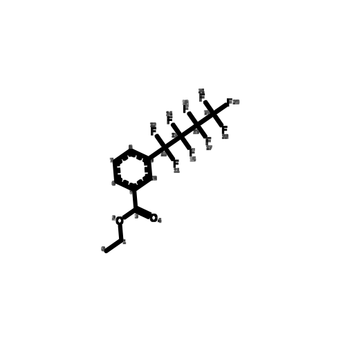 CCOC(=O)c1cccc(C(F)(F)C(F)(F)C(F)(F)C(F)(F)F)c1